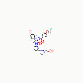 COc1cc(F)c([C@H]2C(NC(=O)c3ccc(OC(F)F)cc3)C(=O)N(c3cccc(C4CCCN(CCO)C4)n3)[C@H]2C)c(F)c1